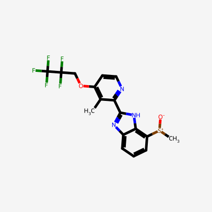 Cc1c(OCC(F)(F)C(F)(F)F)ccnc1-c1nc2cccc([S+](C)[O-])c2[nH]1